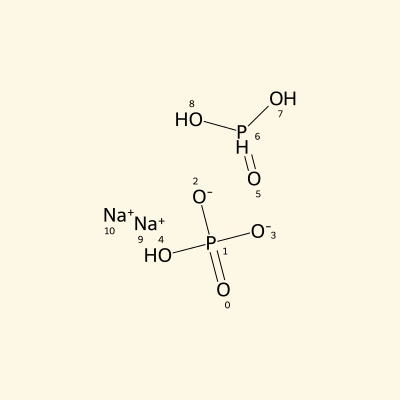 O=P([O-])([O-])O.O=[PH](O)O.[Na+].[Na+]